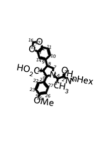 CCCCCCNC(=O)C(C)N1CC(c2ccc3c(c2)OCO3)C(C(=O)O)C1c1ccc(OC)cc1